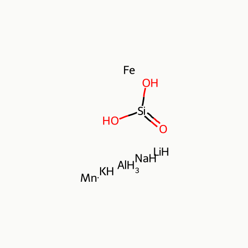 O=[Si](O)O.[AlH3].[Fe].[KH].[LiH].[Mn].[NaH]